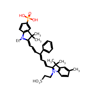 CCN1/C(=C/C=C/C(=C/C=C/C2=[N+](CCS(=O)(=O)O)c3ccc(C)cc3C2(C)C)c2ccccc2)C(C)(C)c2cc(P(=O)(O)O)ccc21